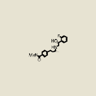 CNC(=O)c1ccc(CC[C@@H](C)NC[C@@H](O)c2ccccc2F)cc1